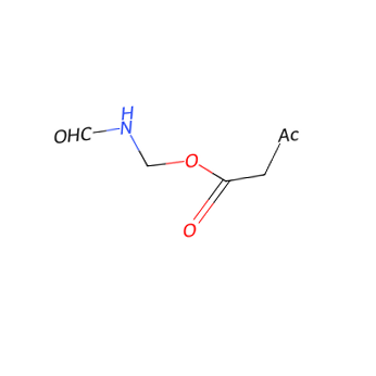 CC(=O)CC(=O)OCNC=O